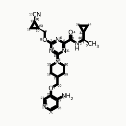 C[C@@H](NC(=O)c1nc(OC[C@H]2C[C@H]2C#N)nc(N2CCC(COc3cnccc3N)CC2)n1)C1CC1